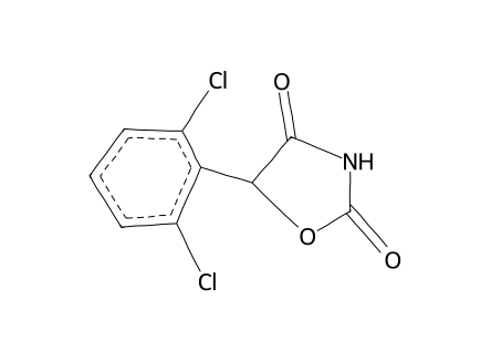 O=C1NC(=O)C(c2c(Cl)cccc2Cl)O1